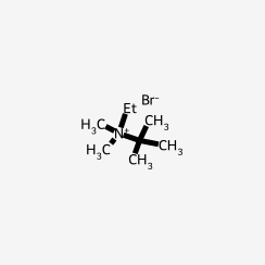 CC[N+](C)(C)C(C)(C)C.[Br-]